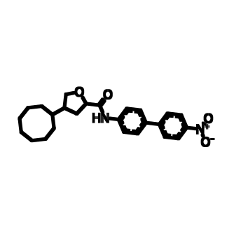 O=C(Nc1ccc(-c2ccc([N+](=O)[O-])cc2)cc1)C1CC(C2CCCCCCC2)CO1